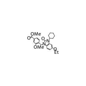 CCOc1ccc2c(c1)n(C1CCCCC1)c(=O)n2Cc1ccc(C(=O)OC)cc1OC